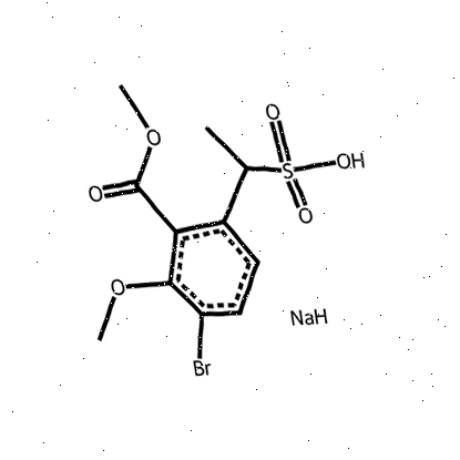 COC(=O)c1c(C(C)S(=O)(=O)O)ccc(Br)c1OC.[NaH]